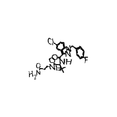 CC(C)(C)C(NC(=O)c1nn(Cc2ccc(F)cc2)c2ccc(Cl)cc12)C(=O)NCCC(N)=O